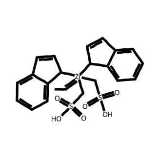 C[CH]=[Zr]([CH2]S(=O)(=O)O)([CH2]S(=O)(=O)O)([CH]1C=Cc2ccccc21)[CH]1C=Cc2ccccc21